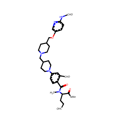 CNC(=O)C(CCC=O)N(C)C(=O)c1ccc(N2CCC(CN3CCC(COc4ccc(NC=O)nc4)CC3)CC2)cc1C=O